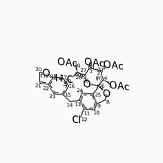 CC(=O)O[C@H]1[C@H](OC(C)=O)[C@@H](OC(C)=O)[C@@]2(OCc3cc(Cl)c(Cc4ccc5occc5c4)cc32)O[C@@H]1[C@@H](C)OC(C)=O